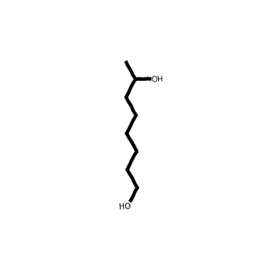 CC(O)CC[CH]CCCO